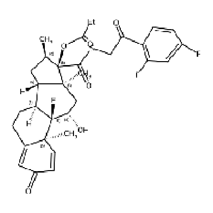 CCC(=O)O[C@]1(C(=O)SCC(=O)c2ccc(F)cc2F)[C@H](C)C[C@H]2[C@@H]3CCC4=CC(=O)C=C[C@]4(C)[C@@]3(F)[C@@H](O)C[C@@]21C